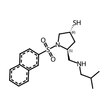 CC(C)CNC[C@@H]1C[C@@H](S)CN1S(=O)(=O)c1ccc2ccccc2c1